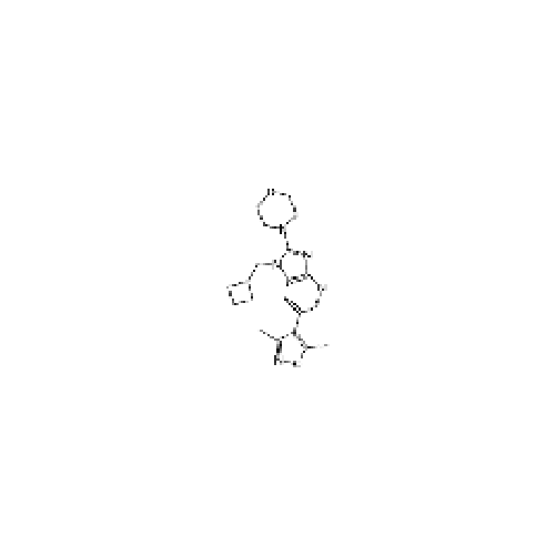 Cc1noc(C)c1-c1cnc2nc(N3CCOCC3)n(CC3CCC3)c2c1